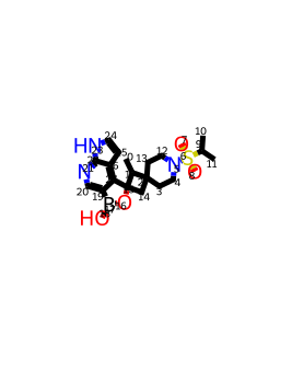 CC1C2(CCN(S(=O)(=O)C(C)C)CC2)CC12OB(O)c1cnc3[nH]ccc3c12